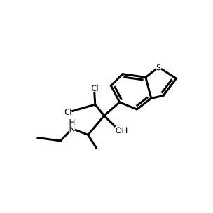 CCNC(C)C(O)(c1ccc2sccc2c1)C(Cl)Cl